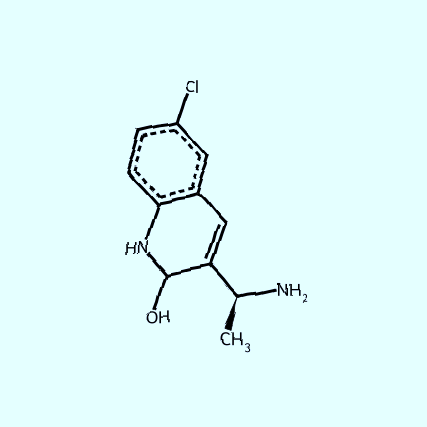 C[C@H](N)C1=Cc2cc(Cl)ccc2NC1O